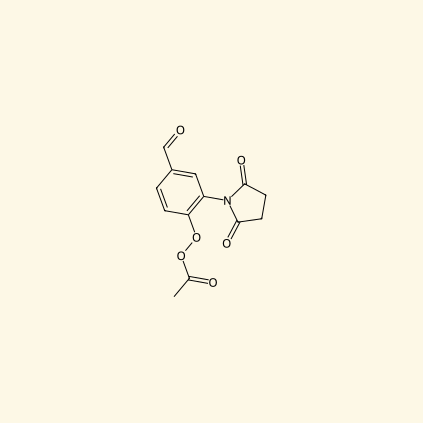 CC(=O)OOc1ccc(C=O)cc1N1C(=O)CCC1=O